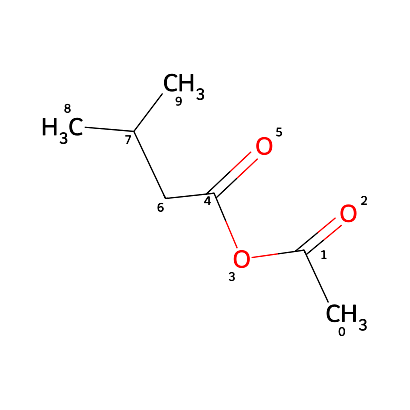 CC(=O)OC(=O)CC(C)C